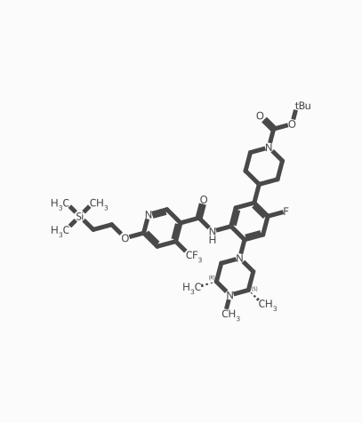 C[C@@H]1CN(c2cc(F)c(C3CCN(C(=O)OC(C)(C)C)CC3)cc2NC(=O)c2cnc(OCC[Si](C)(C)C)cc2C(F)(F)F)C[C@H](C)N1C